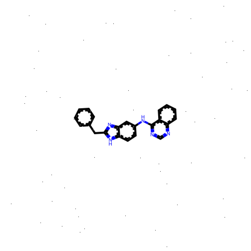 c1ccc(Cc2nc3cc(Nc4ncnc5ccccc45)ccc3[nH]2)cc1